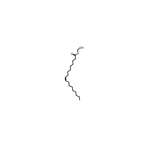 CCCCCCCC/C=C\CCCCCCCC(=O)OCO